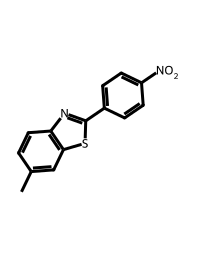 Cc1ccc2nc(-c3ccc([N+](=O)[O-])cc3)sc2c1